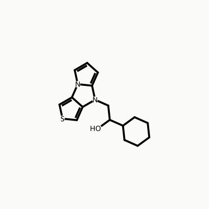 OC(Cn1c2cscc2n2cccc12)C1CCCCC1